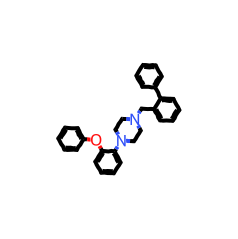 c1ccc(Oc2ccccc2N2CCN(Cc3ccccc3-c3ccccc3)CC2)cc1